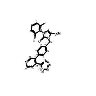 CCCCc1cn(-c2c(C)cccc2F)c(=O)n1Cc1ccc(-c2cnccc2-c2nnn[nH]2)cc1